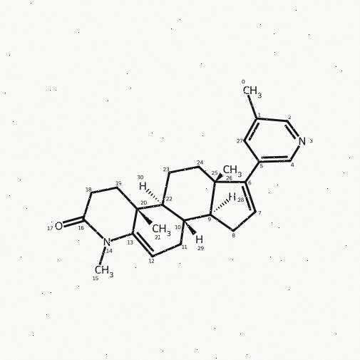 Cc1cncc(C2=CC[C@H]3[C@@H]4CC=C5N(C)C(=O)CC[C@]5(C)[C@H]4CC[C@]23C)c1